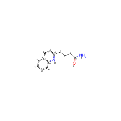 NC(=O)CCCc1ccc2ccccc2n1